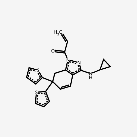 C=CC(=O)n1nc(NC2CC2)c2c1CC(c1cccs1)(c1cccs1)C=C2